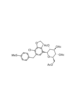 CSc1ccc(Cc2cc([C@@H]3O[C@H](COC(C)=O)[C@@H](OC(C)=O)[C@H](OC(C)=O)[C@H]3OC(C)=O)c3c(c2Cl)OCC3)cc1